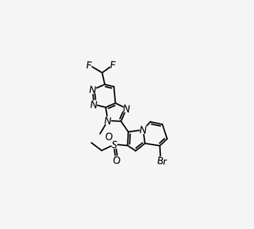 CCS(=O)(=O)c1cc2c(Br)cccn2c1-c1nc2cc(C(F)F)nnc2n1C